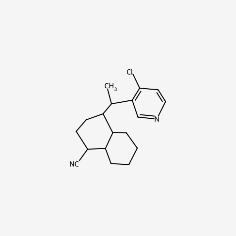 CC(c1cnccc1Cl)C1CCC(C#N)C2CCCCC21